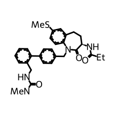 CCC(=O)N[C@@H]1CCc2cc(SC)ccc2N(Cc2ccc(-c3ccccc3CNC(=O)NC)cc2)C1=O